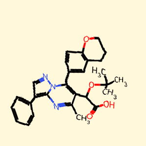 Cc1nc2c(-c3ccccc3)cnn2c(-c2ccc3c(c2)CCCO3)c1C(OC(C)(C)C)C(=O)O